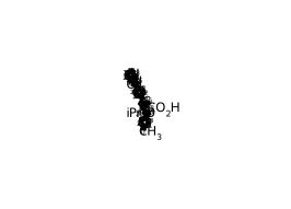 CC1CCC(C(=O)N(c2cc(-c3ccc(-c4nc5ncccc5o4)cc3)sc2C(=O)O)C(C)C)CC1